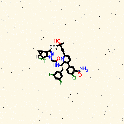 CC(C)(O)C#Cc1ccc(-c2ccc(Cl)c(C(N)=O)c2)c([C@H](Cc2cc(F)cc(F)c2)NC(=O)Cn2nc(C(F)(F)F)c3c2C(F)(F)[C@@H]2CC32)n1